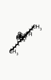 CCCCCCCCCCCCCCPCCCCCC.COP(=O)(O)O